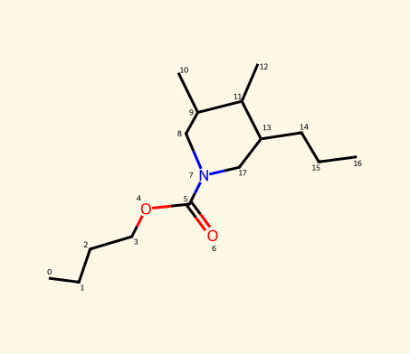 CCCCOC(=O)N1CC(C)C(C)C(CCC)C1